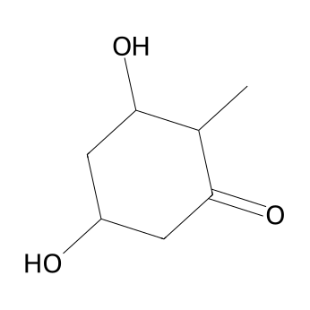 CC1C(=O)CC(O)CC1O